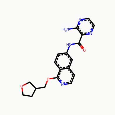 Nc1nccnc1C(=O)Nc1ccc2c(OCC3CCOC3)nccc2c1